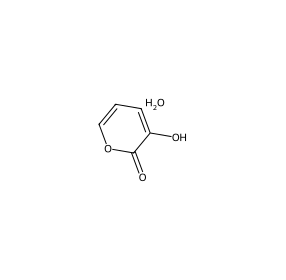 O.O=c1occcc1O